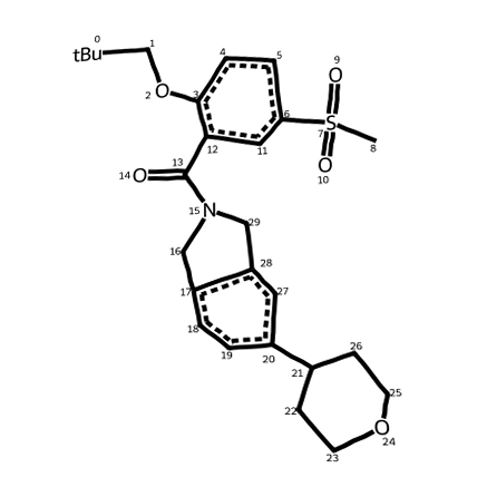 CC(C)(C)COc1ccc(S(C)(=O)=O)cc1C(=O)N1Cc2ccc(C3CCOCC3)cc2C1